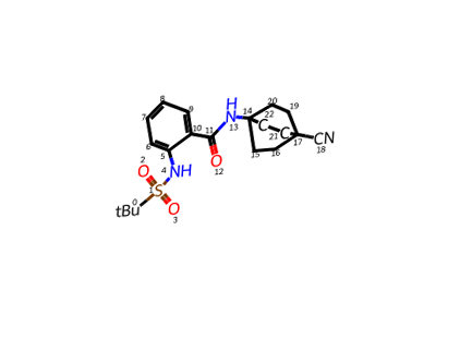 CC(C)(C)S(=O)(=O)Nc1ccccc1C(=O)NC12CCC(C#N)(CC1)CC2